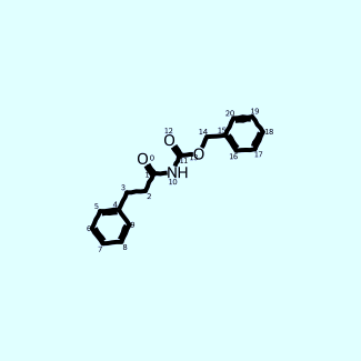 O=C(CCc1ccccc1)NC(=O)OCc1ccccc1